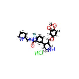 Cl.O=C(NCc1ccccn1)c1cc(C2CCNCC2COc2ccc3c(c2)OCO3)ccc1F